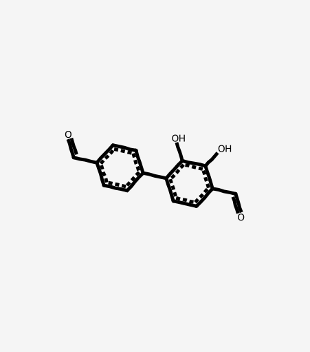 O=Cc1ccc(-c2ccc(C=O)c(O)c2O)cc1